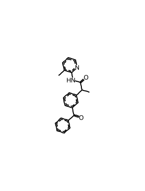 Cc1cccnc1NC(=O)C(C)c1cccc(C(=O)c2ccccc2)c1